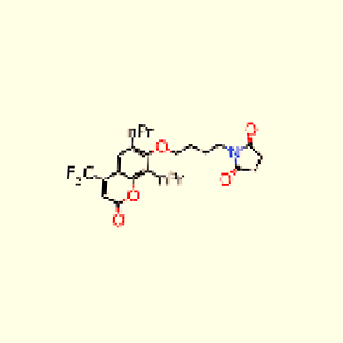 CCCc1cc2c(C(F)(F)F)cc(=O)oc2c(CCC)c1OCCCCN1C(=O)CCC1=O